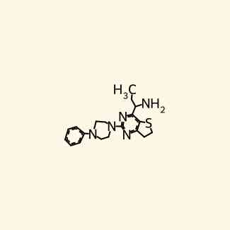 CCC(N)c1nc(N2CCN(c3ccccc3)CC2)nc2c1SCC2